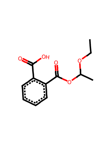 CCOC(C)OC(=O)c1ccccc1C(=O)O